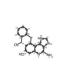 Cl.Nc1nc2cccc(Cc3ccccc3CCl)c2c2[nH]cnc12